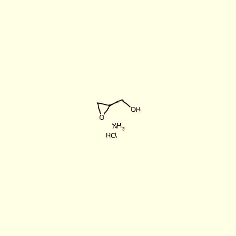 Cl.N.OCC1CO1